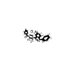 C[C@@H]1CN(C(=O)c2ccccc2)CCN1c1nnc(-c2ccccc2)c2ccc([N+](=O)[O-])cc12